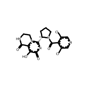 O=C1NCCn2c([C@@H]3CCCN3C(=O)c3c(Cl)cncc3Cl)nc(=O)c(O)c21